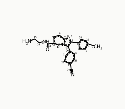 Cc1ccc(-c2nc3ccc(C(=O)NCCN)cn3c2-c2ccc(C#N)cc2)cc1